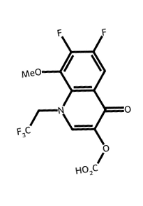 COc1c(F)c(F)cc2c(=O)c(OC(=O)O)cn(CC(F)(F)F)c12